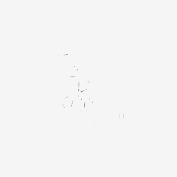 CC(C)(C)C1CCC(N(Cc2ccc(C(=O)NCCC(=O)O)cc2)C(=O)Nc2ccc(Cl)cc2Cl)CC1